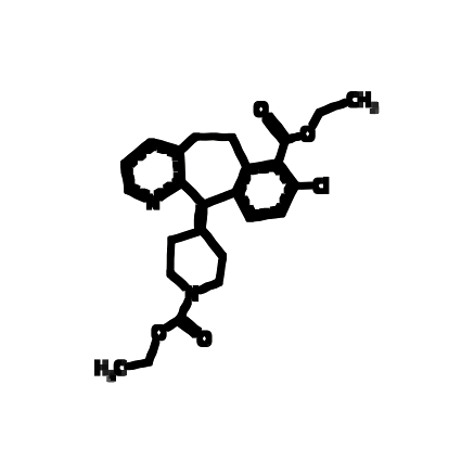 CCOC(=O)c1c(Cl)ccc2c1CCc1cccnc1C2=C1CCN(C(=O)OCC)CC1